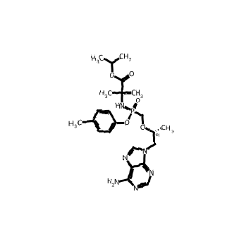 Cc1ccc(OP(=O)(CO[C@H](C)Cn2cnc3c(N)ncnc32)NC(C)(C)C(=O)OC(C)C)cc1